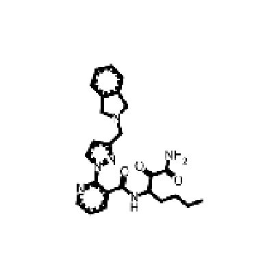 CCCCC(NC(=O)c1cccnc1-n1ccc(CN2Cc3ccccc3C2)n1)C(=O)C(N)=O